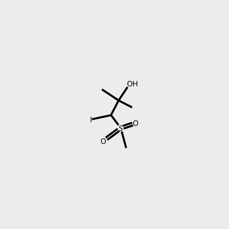 CC(C)(O)C(I)S(C)(=O)=O